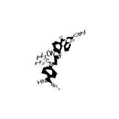 CN(Cc1nc2cc(C(=O)N(CC(=O)O)c3ccccn3)ccc2n1C)c1ccc(C(=N)N)cc1